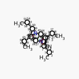 Cc1cccc(-c2ccc3c(c2)c2cc(-c4cccc(C)c4)ccc2n3-c2cccc(C#N)c2-c2c(-c3ccc(C#N)cc3C(F)(F)F)cccc2-n2c3ccc(-c4cccc(C)c4)cc3c3cc(-c4cccc(C)c4)ccc32)c1